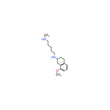 CNCCCCCNC1CCc2cccc(OC)c2C1